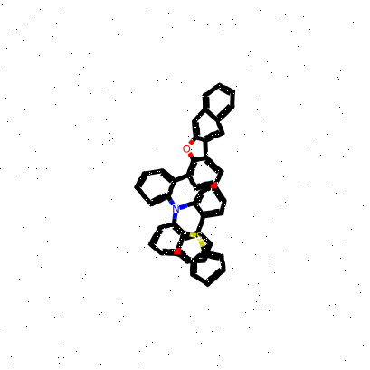 c1ccc(-c2ccccc2N(c2ccccc2-c2cccc3c2oc2cc4ccccc4cc23)c2cccc3c2sc2ccccc23)cc1